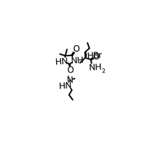 Br.CC1(C)NC(=O)NC1=O.CCC=C(C)C(N)=O.CCCNN(C)C